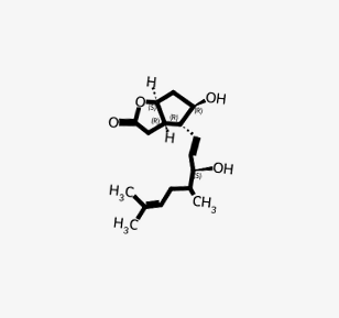 CC(C)=CCC(C)[C@H](O)C=C[C@@H]1[C@H]2CC(=O)O[C@H]2C[C@H]1O